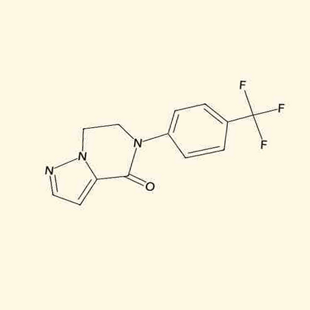 O=C1c2ccnn2CCN1c1ccc(C(F)(F)F)cc1